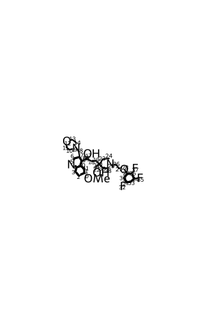 COc1ccc2ncc(CN3CCOCC3)c([C@@H](O)CCC3(CO)CCN(CCOc4cc(F)cc(F)c4F)CC3)c2c1